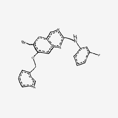 Fc1cccc(Nc2ncc3cc(Br)c(OCc4cccnc4)cc3n2)c1